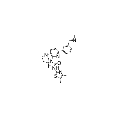 C/N=C/c1cccc(-c2ccc3c(n2)N(C(=O)Nc2nc(C)c(C)s2)[C@H]2CCN3C2)c1